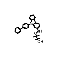 CC(C)(O)C(C)(C)OBc1ccc2c3ccccc3n(-c3ccc(-c4ccccc4)cc3)c2c1